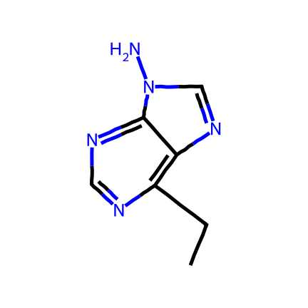 CCc1ncnc2c1ncn2N